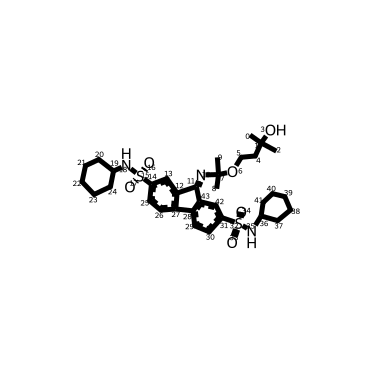 CC(C)(O)CCOC(C)(C)N=C1c2cc(S(=O)(=O)NC3CCCCC3)ccc2-c2ccc(S(=O)(=O)NC3CCCCC3)cc21